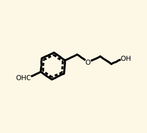 O=Cc1ccc(COCCO)cc1